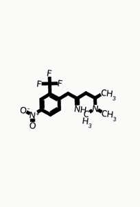 CC(CC(=N)Cc1ccc([N+](=O)[O-])cc1C(F)(F)F)N(C)C